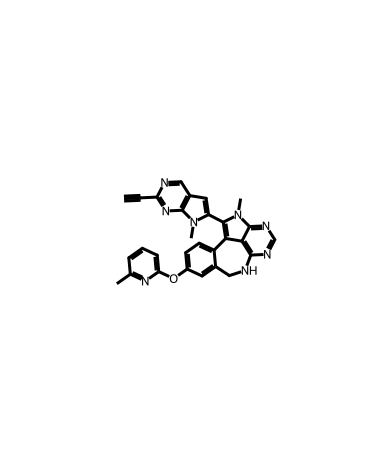 C#Cc1ncc2cc(-c3c4c5c(ncnc5n3C)NCc3cc(Oc5cccc(C)n5)ccc3-4)n(C)c2n1